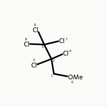 COCC(Cl)(Cl)C(Cl)(Cl)Cl